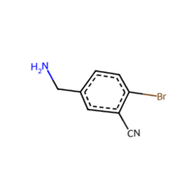 N#Cc1cc(CN)ccc1Br